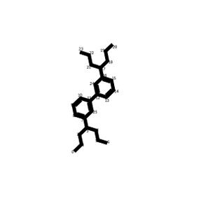 CCCC(CCC)c1cc[c]c(-c2[c]ccc(C(CCC)CCC)c2)c1